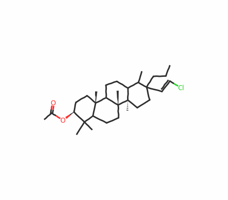 CCCC1(/C=C/Cl)CC[C@]2(C)C(CCC3[C@@]4(C)CC[C@H](OC(C)=O)C(C)(C)C4CC[C@]32C)C1C